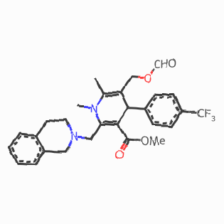 COC(=O)C1=C(CN2CCc3ccccc3C2)N(C)C(C)=C(COC=O)C1c1ccc(C(F)(F)F)cc1